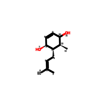 CC/C(C)=C/C[C@@H]1[C@H](O)C=CC(O)[C@@H]1C